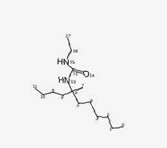 CCCCCCC(C)(CCCC)NC(=O)NCC